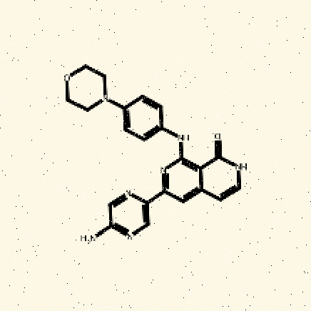 Nc1cnc(-c2cc3cc[nH]c(=O)c3c(Nc3ccc(N4CCOCC4)cc3)n2)cn1